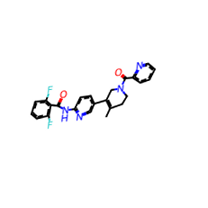 CC1=C(c2ccc(NC(=O)c3c(F)cccc3F)nc2)CN(C(=O)c2ccccn2)CC1